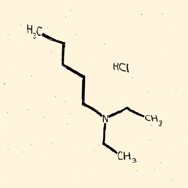 CCCCCN(CC)CC.Cl